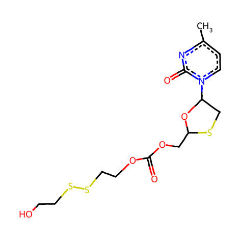 Cc1ccn(C2CSC(COC(=O)OCCSSCCO)O2)c(=O)n1